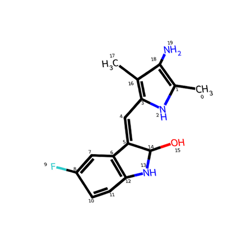 Cc1[nH]c(/C=C2/c3cc(F)ccc3NC2O)c(C)c1N